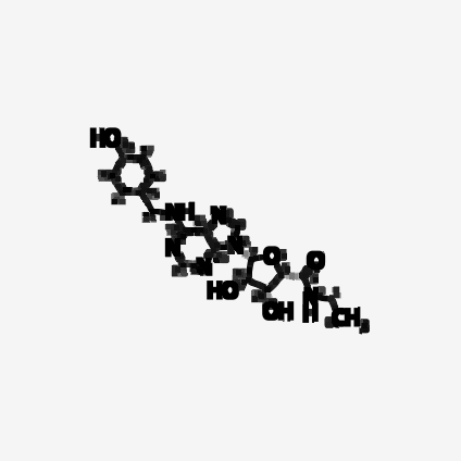 CCNC(=O)[C@H]1O[C@@H](n2cnc3c(NCc4ccc(O)cc4)ncnc32)[C@@H](O)[C@H]1O